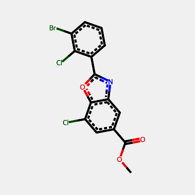 COC(=O)c1cc(Cl)c2oc(-c3cccc(Br)c3Cl)nc2c1